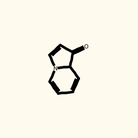 O=C1C=CN2C=CC=CC12